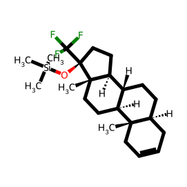 C[C@]12CC=CC[C@@H]1CC[C@@H]1[C@@H]2CC[C@@]2(C)[C@H]1CC[C@@]2(O[Si](C)(C)C)C(F)(F)F